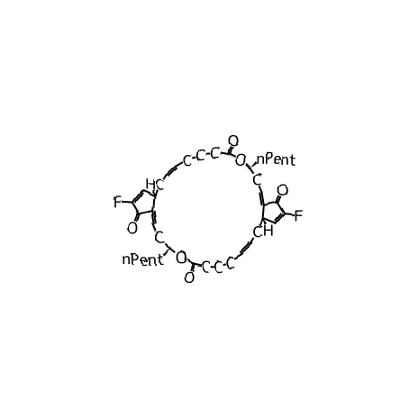 CCCCC[C@H]1C/C=C2/C(=O)C(F)=C[C@@H]2C/C=C\CCCC(=O)O[C@@H](CCCCC)C/C=C2/C(=O)C(F)=C[C@@H]2C/C=C\CCCC(=O)O1